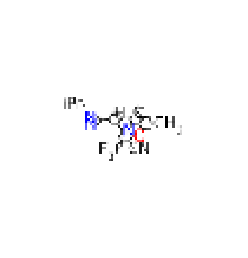 Cc1ccc(Cn2c(-c3cccc(-c4cnn(CCC(C)C)c4)c3)cc(C(F)(F)F)c(C#N)c2=O)c(C)c1